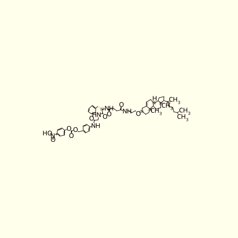 CC(C)CCC[C@@H](C)C1CCC2[C@@H]3CC=C4C[C@@H](OCCCNC(=O)CCC(=O)N[C@@H](Cc5ccccc5)C(=O)NCC(=O)Nc5ccc(COC(=O)Oc6ccc([N+](=O)O)cc6)cc5)CC[C@]4(C)C3CC[C@@]21C